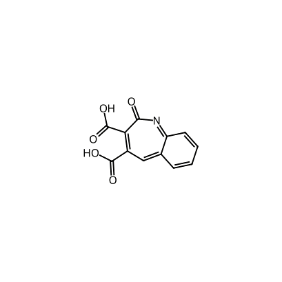 O=C(O)c1cc2ccccc2nc(=O)c1C(=O)O